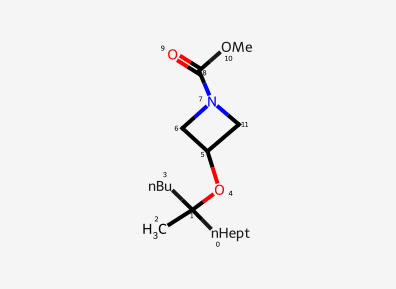 CCCCCCCC(C)(CCCC)OC1CN(C(=O)OC)C1